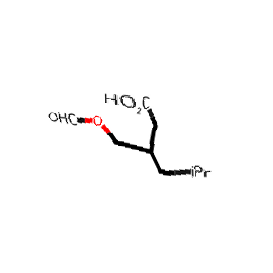 CC(C)CC(COC=O)CC(=O)O